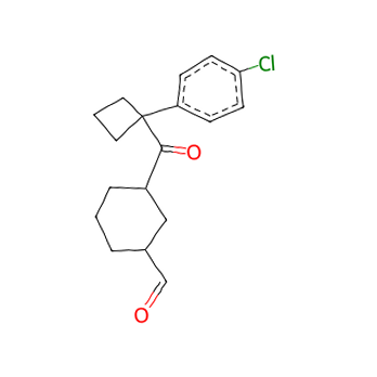 O=CC1CCCC(C(=O)C2(c3ccc(Cl)cc3)CCC2)C1